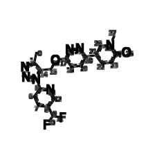 Cc1nnn(-c2ccc(C(F)F)cn2)c1COc1ccc(-c2ccc(=O)n(C)c2)nn1